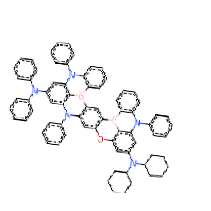 c1ccc(N(c2ccccc2)c2cc3c4c(c2)N(c2ccccc2)c2cc5c(cc2B4c2ccccc2N3c2ccccc2)B2c3ccccc3N(c3ccccc3)c3cc(N(C4CCCCC4)C4CCCCC4)cc(c32)O5)cc1